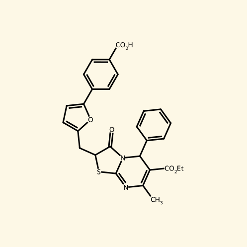 CCOC(=O)C1=C(C)N=C2SC(Cc3ccc(-c4ccc(C(=O)O)cc4)o3)C(=O)N2C1c1ccccc1